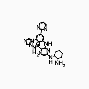 NC(=O)c1ncc(N[C@@H]2CCCC[C@@H]2N)nc1Nc1cc(-c2ncccn2)cc(-n2cncn2)c1